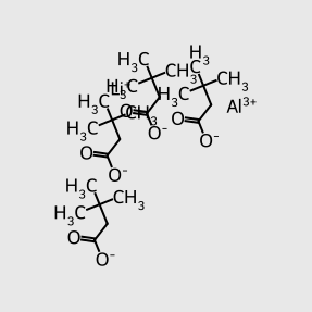 CC(C)(C)CC(=O)[O-].CC(C)(C)CC(=O)[O-].CC(C)(C)CC(=O)[O-].CC(C)(C)CC(=O)[O-].[Al+3].[Li+]